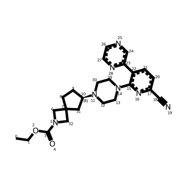 CCOC(=O)N1CC2(CC[C@@H](N3CCN(c4nc(C#N)ccc4-c4cnccn4)CC3)C2)C1